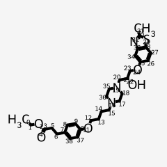 CCOC(=O)CCc1ccc(OCCCCN2CCN(C[C@@H](O)COc3ccc4sc(C)nc4c3)CC2)cc1